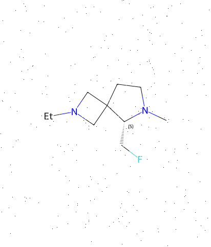 CCN1CC2(CCN(C)[C@@H]2CF)C1